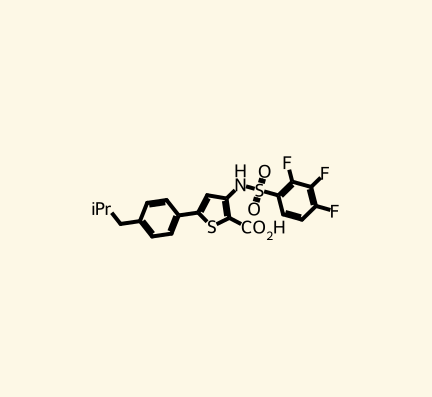 CC(C)Cc1ccc(-c2cc(NS(=O)(=O)c3ccc(F)c(F)c3F)c(C(=O)O)s2)cc1